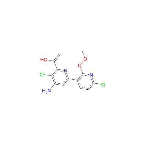 C=C(O)c1nc(-c2ccc(Cl)nc2OOC)cc(N)c1Cl